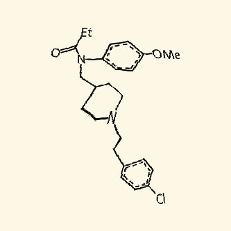 CCC(=O)N(CC1CCN(CCc2ccc(Cl)cc2)CC1)c1ccc(OC)cc1